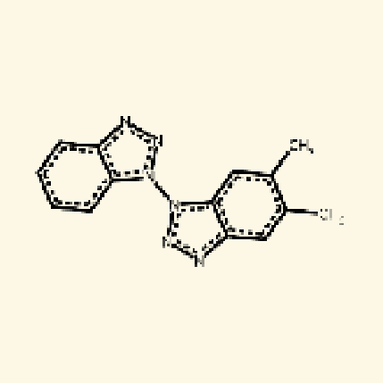 Cc1cc2nnn(-n3nnc4ccccc43)c2cc1C